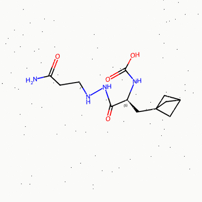 NC(=O)CCNNC(=O)[C@H](CC12CC(C1)C2)NC(=O)O